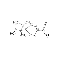 CC(C)C(C)(CO)C1CCC(C(=O)O)CC1